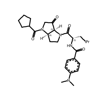 CC(C)C[C@H](NC(=O)c1ccc(N(C)C)cc1)C(=O)N1CC[C@@H]2[C@H]1C(=O)CN2C(=O)C1CCCC1